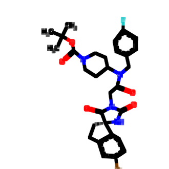 CC(C)(C)OC(=O)N1CCC(N(Cc2ccc(F)cc2)C(=O)CN2C(=O)N[C@]3(CCc4cc(Br)ccc43)C2=O)CC1